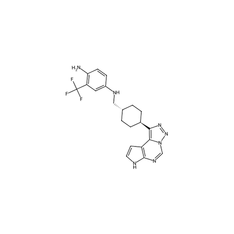 Nc1ccc(NC[C@H]2CC[C@H](c3nnn4cnc5[nH]ccc5c34)CC2)cc1C(F)(F)F